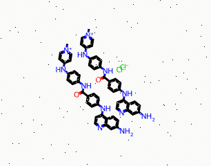 C[n+]1ccc(Nc2ccc(NC(=O)c3ccc(Nc4ccnc5cc(N)ccc45)cc3)cc2)cc1.C[n+]1ccc(Nc2ccc(NC(=O)c3ccc(Nc4ccnc5cc(N)ccc45)cc3)cc2)cc1.[Cl-].[Cl-]